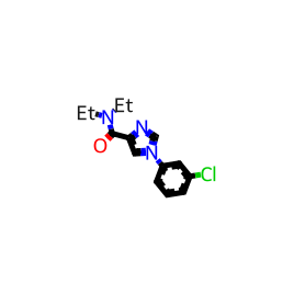 CCN(CC)C(=O)c1cn(-c2cccc(Cl)c2)cn1